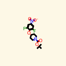 CC(C)(C)OC(=O)N1CCC(Oc2c(F)cc([N+](=O)[O-])cc2F)CC1